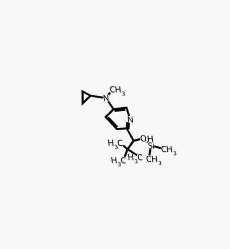 CN(c1ccc(C(O[SiH](C)C)C(C)(C)C)nc1)C1CC1